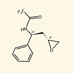 O=C(N[C@@H](C[C@@H]1CO1)c1ccccc1)C(F)(F)F